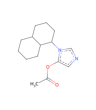 CC(=O)Oc1cncn1C1CCCC2CCCCC21